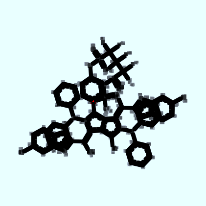 CC(C)c1c2/c(=C(\C#N)c3nc4ccc(Cl)cc4o3)n(B(c3ccccc3)c3ccccc3)c(-c3ccc(OS(=O)(=O)C(F)(F)C(F)(F)C(F)(F)S(=O)(=O)NS(=O)(=O)C(F)(F)F)cc3)c2/c(=C(\C#N)c2nc3ccc(Cl)cc3o2)n1B(c1ccccc1)c1ccccc1